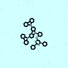 c1ccc(-c2cc(Oc3ccccc3-n3c4ccc(-n5c6ccccc6c6ccccc65)cc4c4cc(-n5c6ccccc6c6ccccc65)ccc43)nc(-c3ccccc3)n2)cc1